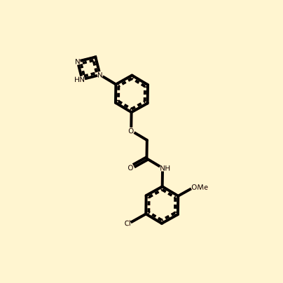 COc1ccc(Cl)cc1NC(=O)COc1cccc(-n2cn[nH]2)c1